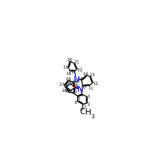 Cc1ccc2c(c1)c1c(n2-c2ccccc2N(c2ccccc2)c2ccccc2)CCC1